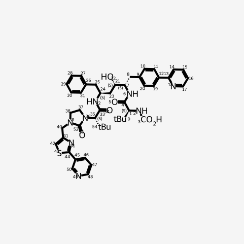 CC(C)(C)[C@H](NC(=O)O)C(=O)N[C@@H](Cc1ccc(-c2ccccn2)cc1)[C@@H](O)C[C@H](Cc1ccccc1)NC(=O)[C@@H](N1CCN(Cc2csc(-c3cccnc3)n2)C1=O)C(C)(C)C